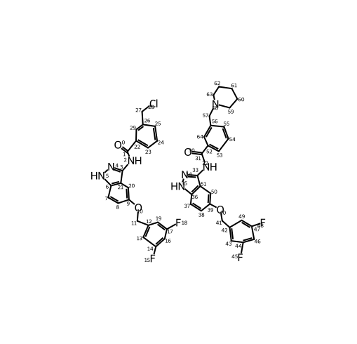 O=C(Nc1n[nH]c2ccc(OCc3cc(F)cc(F)c3)cc12)c1cccc(CCl)c1.O=C(Nc1n[nH]c2ccc(OCc3cc(F)cc(F)c3)cc12)c1cccc(CN2CCCCC2)c1